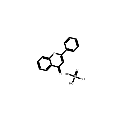 O=P(O)(O)O.O=c1cc(-c2ccccc2)oc2ccccc12